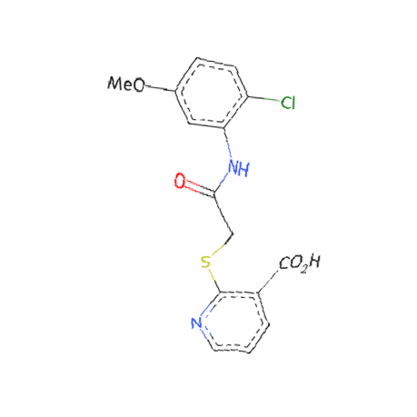 COc1ccc(Cl)c(NC(=O)CSc2ncccc2C(=O)O)c1